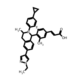 CCn1cc(-c2ccc3c(c2)CC(C)N(c2ccc(C4CC4)cc2)C3c2c(C)cc(/C=C/C(=O)O)cc2F)cn1